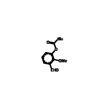 COc1c(C=O)cccc1OC(=O)C(C)(C)C